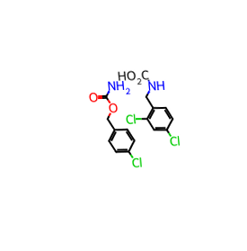 NC(=O)OCc1ccc(Cl)cc1.O=C(O)NCc1ccc(Cl)cc1Cl